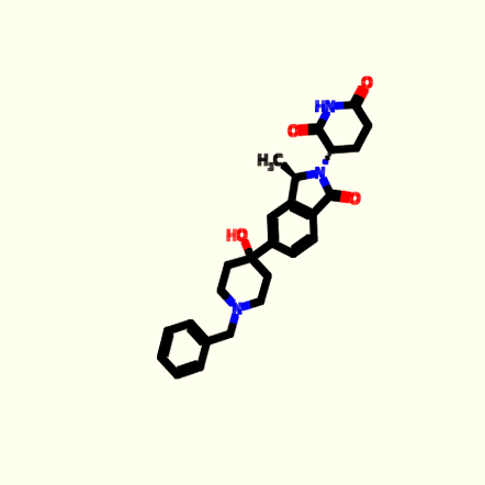 C[C@@H]1c2cc(C3(O)CCN(Cc4ccccc4)CC3)ccc2C(=O)N1[C@H]1CCC(=O)NC1=O